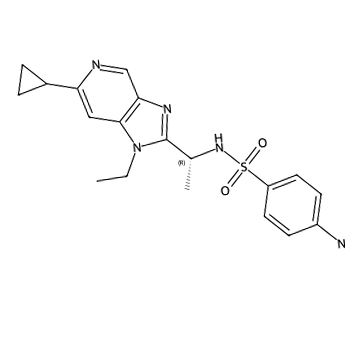 CCn1c([C@@H](C)NS(=O)(=O)c2ccc(N)cc2)nc2cnc(C3CC3)cc21